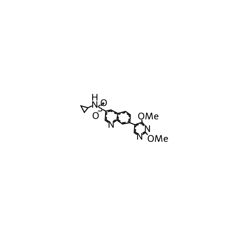 COc1ncc(-c2ccc3cc(S(=O)(=O)NC4CC4)cnc3c2)c(OC)n1